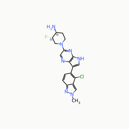 Cn1cc2c(Cl)c(-c3c[nH]c4nc(N5CC[C@H](N)[C@@H](F)C5)cnc34)ccc2n1